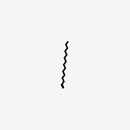 C=C[CH]CCCCCCCCCCCC